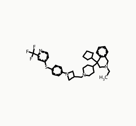 CCN1Cc2ccccc2C(C2CCCC2)(C2CCN(CC3CN(c4ccc(Sc5ccnc(C(F)(F)F)c5)cc4)C3)CC2)C1